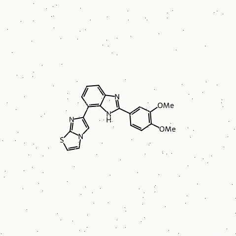 COc1ccc(-c2nc3cccc(-c4cn5ccsc5n4)c3[nH]2)cc1OC